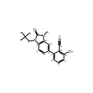 Cn1c(=O)n(CC(C)(C)C)c2ccc(-c3cccc(Cl)c3C#N)cc21